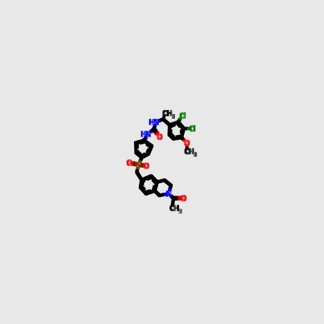 COc1ccc([C@H](C)NC(=O)Nc2ccc(S(=O)(=O)Cc3ccc4c(c3)CCN(C(C)=O)C4)cc2)c(Cl)c1Cl